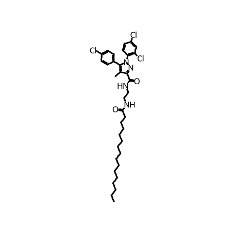 CCCCCCCCCCCCCCCC(=O)NCCNC(=O)c1nn(-c2ccc(Cl)cc2Cl)c(-c2ccc(Cl)cc2)c1C